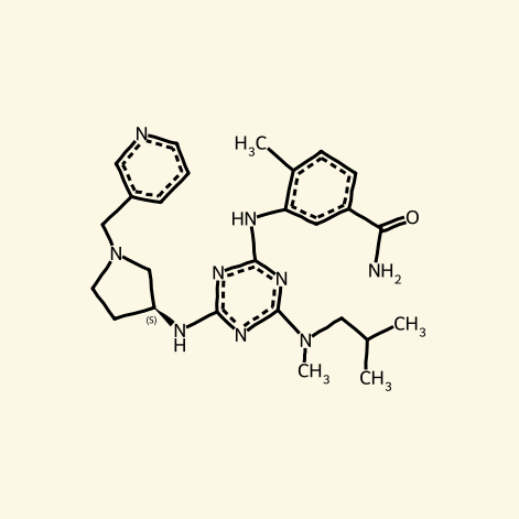 Cc1ccc(C(N)=O)cc1Nc1nc(N[C@H]2CCN(Cc3cccnc3)C2)nc(N(C)CC(C)C)n1